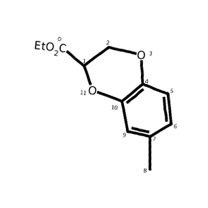 CCOC(=O)C1COc2ccc(C)cc2O1